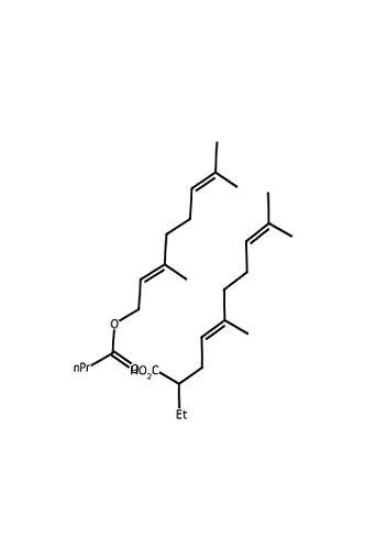 CCC(C/C=C(\C)CCC=C(C)C)C(=O)O.CCCC(=O)OC/C=C(\C)CCC=C(C)C